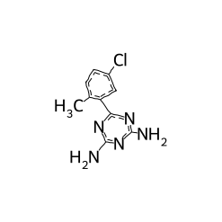 Cc1ccc(Cl)cc1-c1nc(N)nc(N)n1